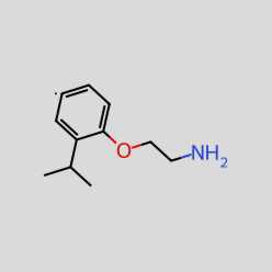 CC(C)c1c[c]ccc1OCCN